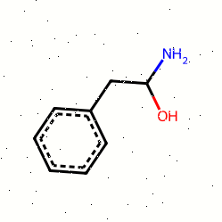 N[C](O)Cc1ccccc1